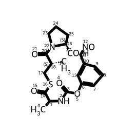 CC(NC(=O)Oc1cccc(CN=O)c1)C(=O)SC[C@@H](C)C(=O)N1CCC[C@H]1C(=O)O